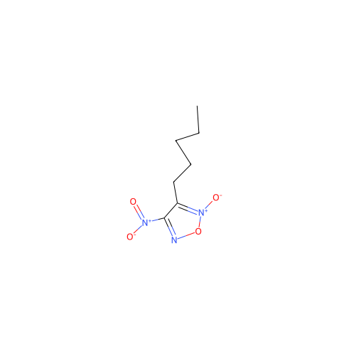 CCCCCc1c([N+](=O)[O-])no[n+]1[O-]